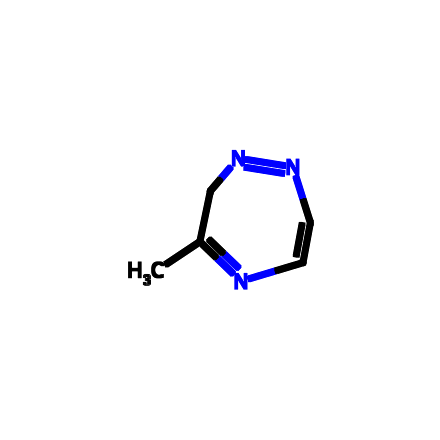 CC1=NC=CN=NC1